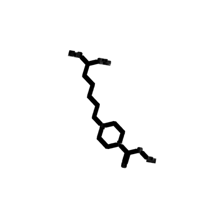 COC(CCCCCN1CCN(C(=O)OC(C)(C)C)CC1)OC